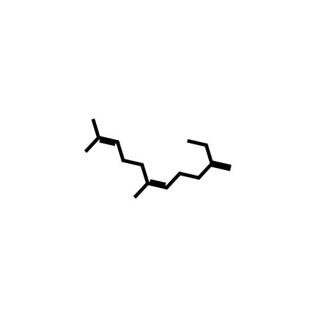 C=C(CC)CCC=C(C)CCC=C(C)C